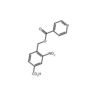 O=C(O)c1ccc(COC(=O)c2ccncc2)c([N+](=O)[O-])c1